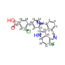 N#Cc1cccc(C#N)c1-c1c(-c2cccc(-c3ccc(C(=O)O)cc3Cl)c2)[nH]c2ccc(F)cc12